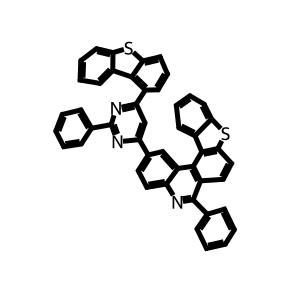 c1ccc(-c2nc(-c3ccc4nc(-c5ccccc5)c5ccc6sc7ccccc7c6c5c4c3)cc(-c3cccc4sc5ccccc5c34)n2)cc1